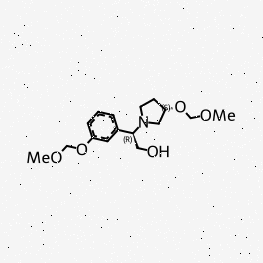 COCOc1cccc([C@H](CO)N2CC[C@H](OCOC)C2)c1